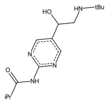 CC(C)C(=O)Nc1ncc(C(O)CNC(C)(C)C)cn1